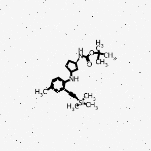 Cc1ccc(NC2CC[C@@H](NC(=O)OC(C)(C)C)C2)c(C#C[Si](C)(C)C)c1